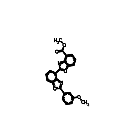 COC(=O)c1cccc2oc(-c3cccc4oc(-c5cccc(OC)c5)nc34)nc12